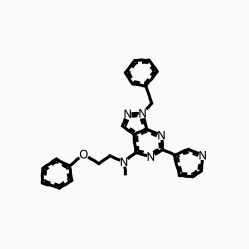 CN(CCOc1ccccc1)c1nc(-c2cccnc2)nc2c1cnn2Cc1ccccc1